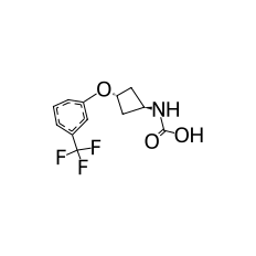 O=C(O)N[C@H]1C[C@H](Oc2cccc(C(F)(F)F)c2)C1